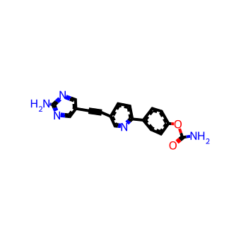 NC(=O)Oc1ccc(-c2ccc(C#Cc3cnc(N)nc3)cn2)cc1